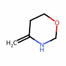 C=C1CCOCN1